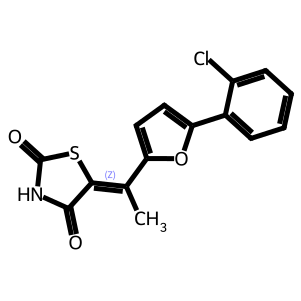 C/C(=C1/SC(=O)NC1=O)c1ccc(-c2ccccc2Cl)o1